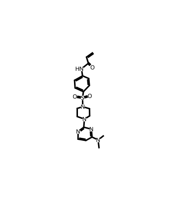 C=CC(=O)Nc1ccc(S(=O)(=O)N2CCN(c3nccc(N(C)C)n3)CC2)cc1